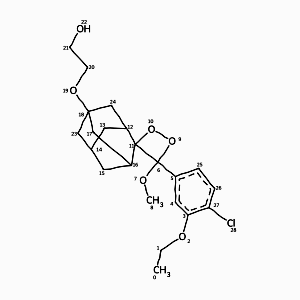 CCOc1cc(C2(OC)OOC23C2CC4CC3CC(OCCO)(C4)C2)ccc1Cl